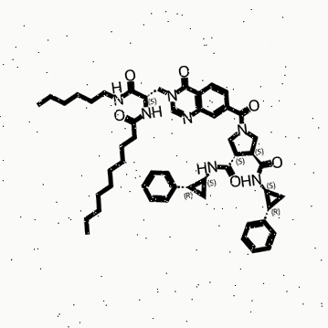 CCCCCCCCCC(=O)N[C@@H](Cn1cnc2cc(C(=O)N3C[C@@H](C(=O)N[C@H]4C[C@@H]4c4ccccc4)[C@H](C(=O)N[C@H]4C[C@@H]4c4ccccc4)C3)ccc2c1=O)C(=O)NCCCCCC